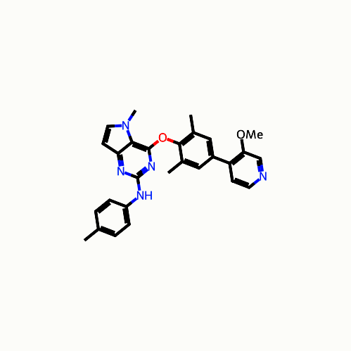 COc1cnccc1-c1cc(C)c(Oc2nc(Nc3ccc(C)cc3)nc3ccn(C)c23)c(C)c1